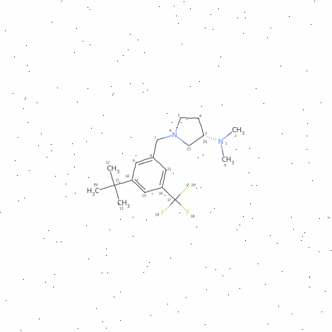 CN(C)[C@H]1CCN(Cc2cc(C(C)(C)C)cc(C(F)(F)F)c2)C1